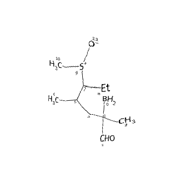 BC(C)(C=O)CC(C)C(CC)[S+](C)[O-]